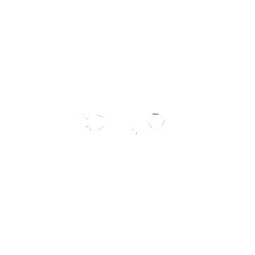 COc1cc([C@@H](C)NC2CC[C@H](c3ccc(=O)[nH]c3)C2)ccc1F